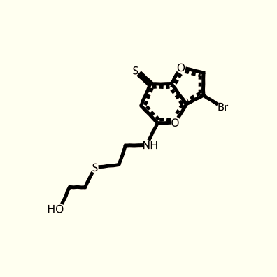 OCCSCCNc1cc(=S)c2occ(Br)c2o1